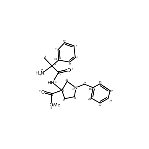 COC(=O)C1(NC(=O)C(C)(N)c2ccccc2)CCN(Cc2ccccc2)C1